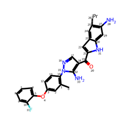 Cc1cc(Oc2ccccc2F)ccc1-n1ncc(C(=O)c2cc3cc(C(C)C)c(N)cc3[nH]2)c1N